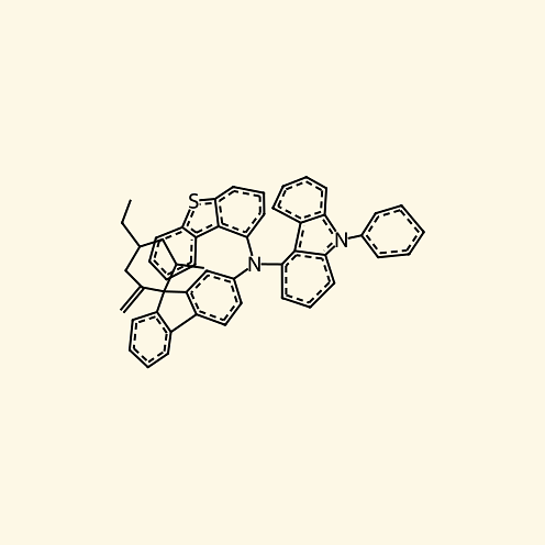 C=C1CC(CC)CC(C)C12c1ccccc1-c1ccc(N(c3cccc4sc5ccccc5c34)c3cccc4c3c3ccccc3n4-c3ccccc3)cc12